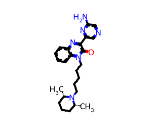 C[C@@H]1CCC[C@H](C)N1CCCCCn1c(=O)c(-c2cncc(N)n2)nc2ccccc21